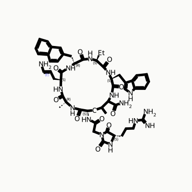 CC[C@@H]1NC(=O)[C@@H](Cc2ccc3ccccc3c2)NC(=O)[C@H](C/C=C/N)NC(=O)[C@@H](C)NC(=O)[C@@H](NC(=O)CN2C(=O)N[C@@H](CCCNC(=N)N)C2=O)CC(C)C(C(N)=O)NC(=O)[C@H](Cc2c[nH]c3ccccc23)NC1=O